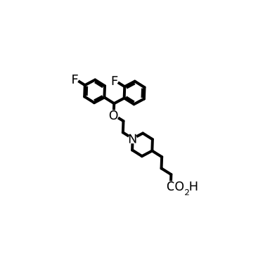 O=C(O)CCCC1CCN(CCOC(c2ccc(F)cc2)c2ccccc2F)CC1